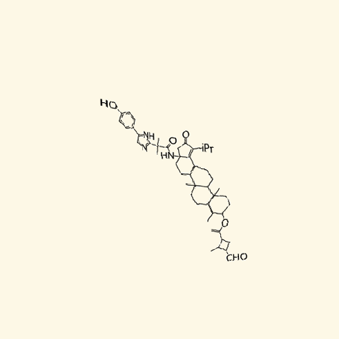 C=C(OC1CCC2(C)C(CCC3(C)C4CCC5(NC(=O)C(C)(C)c6ncc(-c7ccc(O)cc7)[nH]6)CC(=O)C(C(C)C)=C5C4CCC32)C1C)C1CC(C=O)C1C